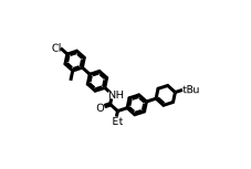 CCC(C(=O)Nc1ccc(-c2ccc(Cl)cc2C)cc1)c1ccc(C2=CCC(C(C)(C)C)CC2)cc1